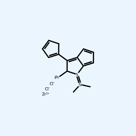 CC(C)C1C(C2=CC=CC2)=C2C=CC=C2S1=[Si](C)C.[Cl-].[Cl-].[Zr+2]